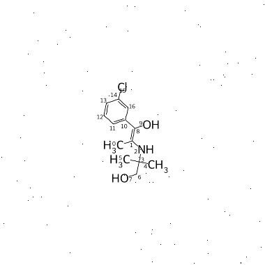 C/C(NC(C)(C)CO)=C(/O)c1cccc(Cl)c1